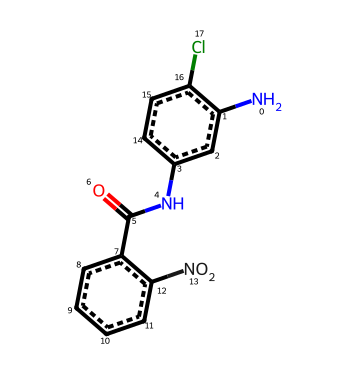 Nc1cc(NC(=O)c2ccccc2[N+](=O)[O-])ccc1Cl